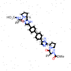 COC(=O)N[C@H](C(=O)N1CCC[C@H]1c1ncc(-c2ccc(-c3ccc(-c4cnc([C@]5(C)CCCN5C(=O)[C@@H](NC(=O)O)C(C)C)[nH]4)cc3)cc2)[nH]1)C(C)C